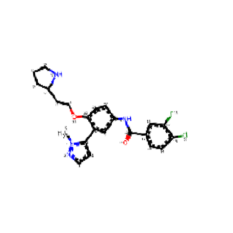 Cn1nccc1-c1cc(NC(=O)c2ccc(Cl)c(F)c2)ccc1OCCC1CCCN1